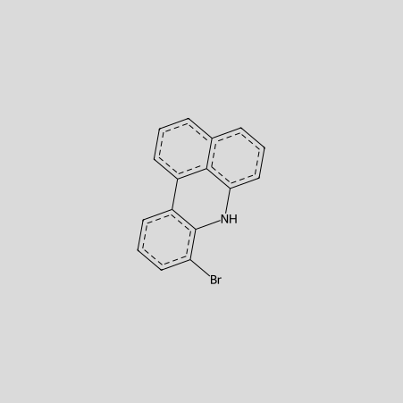 Brc1cccc2c1Nc1cccc3cccc-2c13